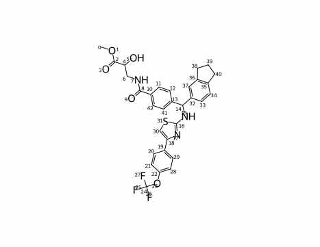 COC(=O)C(O)CNC(=O)c1ccc(C(Nc2nc(-c3ccc(OC(F)(F)F)cc3)cs2)c2ccc3c(c2)CCC3)cc1